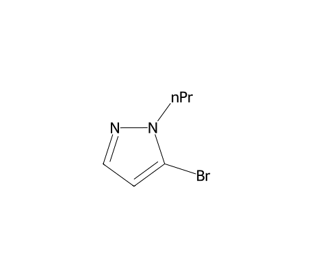 CCCn1nccc1Br